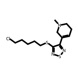 CN1CCC=C(c2nsnc2SCCCCCCl)C1